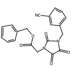 N#Cc1cccc(CN2C(=O)C(=O)N(CC(=O)OCc3ccccc3)C2=O)c1